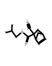 CC(C)COC(=O)C1(C#N)CC2C=CC1C2